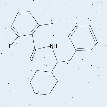 O=C(NC(Cc1ccccc1)C1CCCCC1)c1c(F)cccc1F